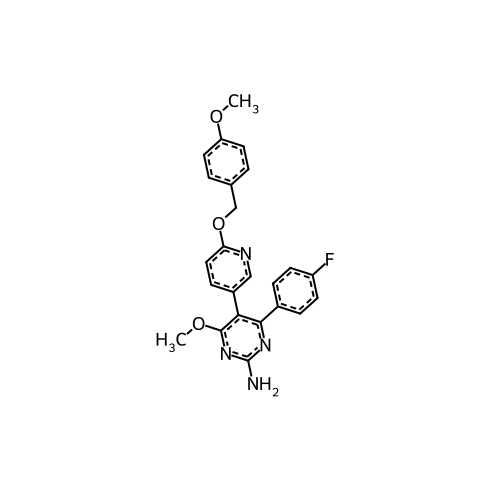 COc1ccc(COc2ccc(-c3c(OC)nc(N)nc3-c3ccc(F)cc3)cn2)cc1